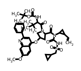 C=CC1CC1N(C(=O)NS(=O)(=O)CC1CC1)C(=O)C1CC(Oc2cc(-c3ccccc3)nc3cc(OC)ccc23)CN1C(=O)C(NC(=O)OC(C)(C)C)C(C)(C)C